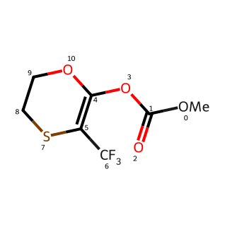 COC(=O)OC1=C(C(F)(F)F)SCCO1